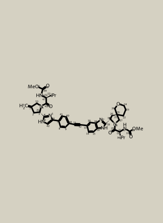 C=C1C[C@@H](c2nc(-c3ccc(C#Cc4ccc5[nH]c([C@@H]6C[C@@]7(CCCOC7)CN6C(=O)[C@@H](NC(=O)OC)C(C)C)nc5c4)cc3)c[nH]2)N(C(=O)[C@@H](NC(=O)OC)C(C)C)C1